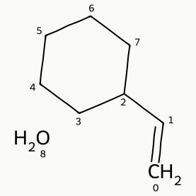 C=CC1CCCCC1.O